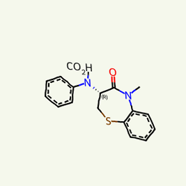 CN1C(=O)[C@@H](N(C(=O)O)c2ccccc2)CSc2ccccc21